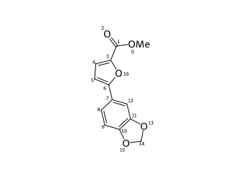 COC(=O)c1ccc(-c2ccc3c(c2)OCO3)o1